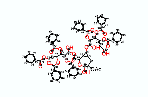 CC(=O)OC1CC2C(OC(O)C(OC(=O)c3ccccc3)C(OC(=O)c3ccccc3)C(CCO)OC(=O)c3ccccc3)C2C(COC(O)C(OC(=O)c2ccccc2)C(OC(=O)c2ccccc2)C(CCOC(=O)c2ccccc2)OC(=O)c2ccccc2)OC1O